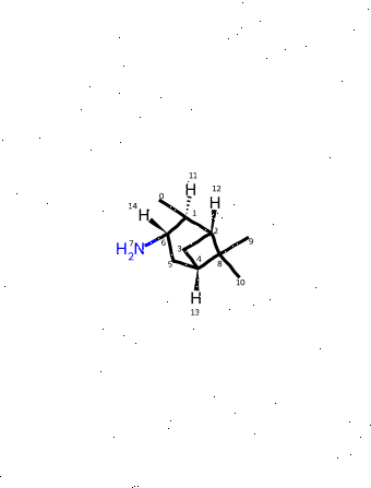 C[C@H]1[C@H]2C[C@@H](C[C@@H]1N)C2(C)C